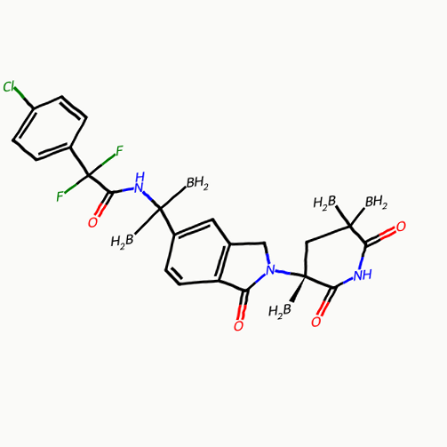 BC1(B)C[C@@](B)(N2Cc3cc(C(B)(B)NC(=O)C(F)(F)c4ccc(Cl)cc4)ccc3C2=O)C(=O)NC1=O